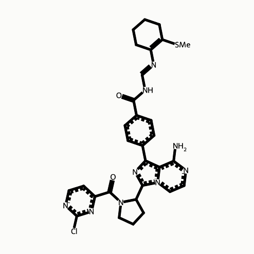 CSC1=C(/N=C/NC(=O)c2ccc(-c3nc(C4CCCN4C(=O)c4ccnc(Cl)n4)n4ccnc(N)c34)cc2)CCCC1